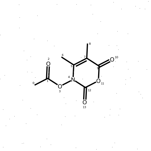 CC(=O)On1c(C)c(C)c(=O)oc1=O